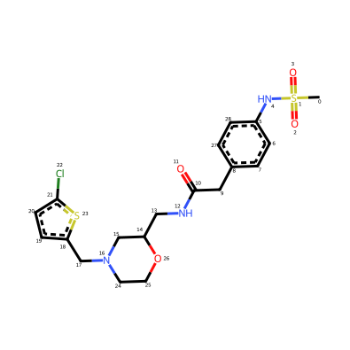 CS(=O)(=O)Nc1ccc(CC(=O)NCC2CN(Cc3ccc(Cl)s3)CCO2)cc1